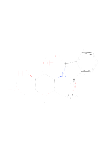 COC1O[C@H](CO)[C@@H](O)[C@H](O)[C@H]1N1C(=O)c2ccccc2C1=O